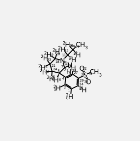 [2H]c1c([2H])c([C@@]2([2H])C([2H])([2H])N(C([2H])([2H])C([2H])([2H])C)C([2H])([2H])C([2H])([2H])C2([2H])[2H])c([2H])c(S(C)(=O)=O)c1[2H]